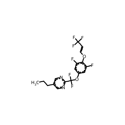 CCCc1cnc(C(F)(F)Oc2cc(F)c(O/C=C/C(F)(F)F)c(F)c2)nc1